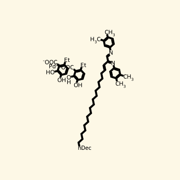 CCCCCCCCCCCCCCCCCCCCCCCCCCCC=CC(C=Nc1ccc(C)c(C)c1)=Nc1ccc(C)c(C)c1.CCc1ccc(O)c(O)c1C(=O)[O-].CCc1ccc(O)c(O)c1C(=O)[O-].[Pd+2]